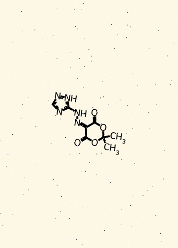 CC1(C)OC(=O)C(=NNc2ncn[nH]2)C(=O)O1